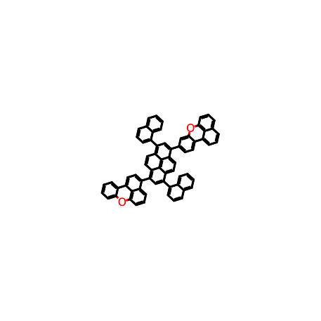 c1ccc2c(c1)Oc1cccc3c(-c4cc(-c5cccc6ccccc56)c5ccc6c(-c7ccc8c(c7)Oc7cccc9cccc-8c79)cc(-c7cccc8ccccc78)c7ccc4c5c67)ccc-2c13